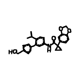 CC(C)c1ccc(NC(=O)C2(c3ccc4c(c3)OCO4)CC2)cc1-c1ccc(CO)cc1